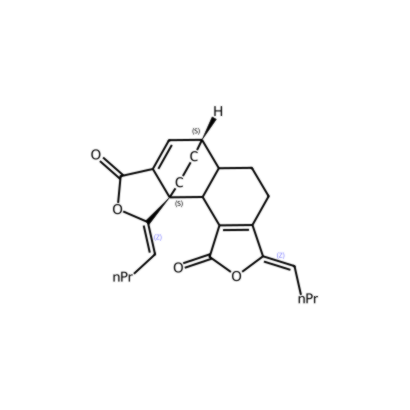 CCC/C=C1\OC(=O)C2=C1CCC1C2[C@@]23CC[C@@H]1C=C2C(=O)O/C3=C\CCC